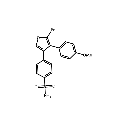 COc1ccc(-c2c(-c3ccc(S(N)(=O)=O)cc3)coc2Br)cc1